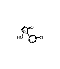 O=C1C=C[C@H](O)C1c1cccc(Cl)c1